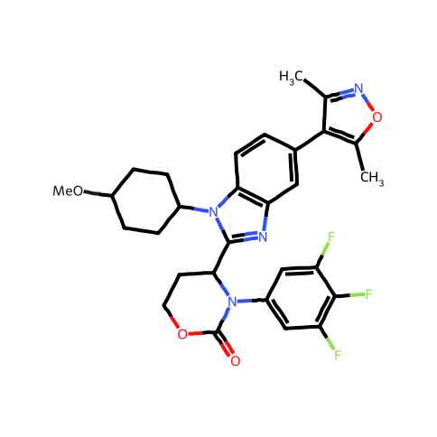 COC1CCC(n2c(C3CCOC(=O)N3c3cc(F)c(F)c(F)c3)nc3cc(-c4c(C)noc4C)ccc32)CC1